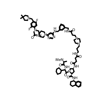 CN[C@@H](C)C(=O)N[C@H](C(=O)N1C[C@@H](NC(=O)CCC(=O)NCCCN2CCN(CCC(=O)NCc3cccc(CNc4cc(N5CCC6(CC5)CN(c5cc(F)c(CN7CCC(C)(C)CC7)cc5F)CC(=O)N6)ncn4)c3)CC2)C[C@H]1C(=O)N[C@H]1CCCc2ccccc21)C1CCCCC1